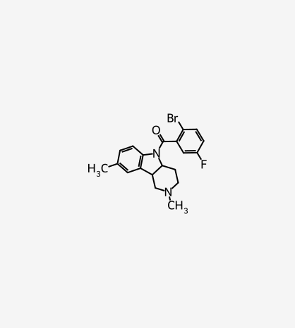 Cc1ccc2c(c1)C1CN(C)CCC1N2C(=O)c1cc(F)ccc1Br